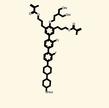 C=C(C)C(=O)OCCCc1cc(-c2ccc(-c3ccc(C4CCC(C5CCC(CCCCC)CC5)CC4)cc3F)cc2CC)cc(CCCOC(=O)C(=C)C)c1OCCC(CO)CO